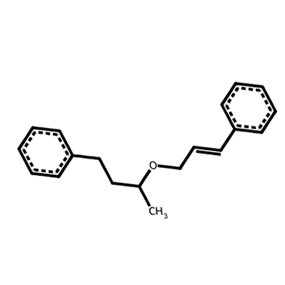 CC(CCc1ccccc1)OCC=Cc1ccccc1